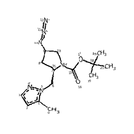 Cc1ccnn1C[C@H]1CC(N=[N+]=[N-])CN1C(=O)OC(C)(C)C